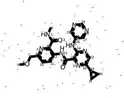 CNC(=O)c1nc(COC)ccc1NC(=O)c1nc(C2CC2)cnc1Nc1cncnc1